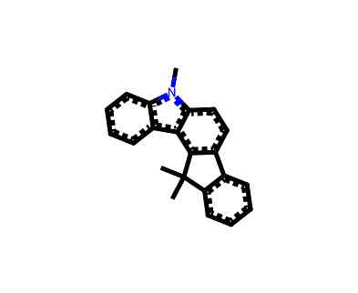 Cn1c2ccccc2c2c3c(ccc21)-c1ccccc1C3(C)C